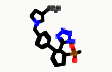 CS(=O)(=O)c1cccc(-c2ccc(CN3CCC(C(=O)O)C3)cc2)c1-c1nnn[nH]1